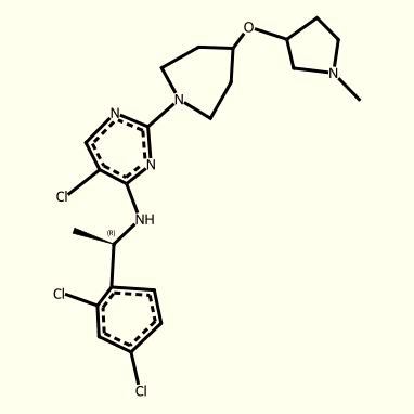 C[C@@H](Nc1nc(N2CCC(OC3CCN(C)C3)CC2)ncc1Cl)c1ccc(Cl)cc1Cl